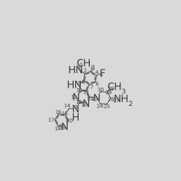 CNc1cc(F)cc2c1[nH]c1nc(NCc3cccnc3)nc(N3CC[C@@H](N)[C@H](C)C3)c12